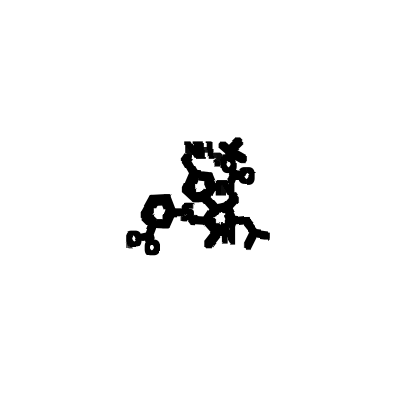 COC(=O)c1cccc(SCc2c(C)nc(CC(C)C)c(CNC(=O)OC(C)(C)C)c2-c2ccc(CN)cc2)c1